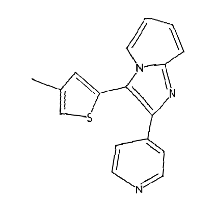 Cc1csc(-c2c(-c3ccncc3)nc3ccccn23)c1